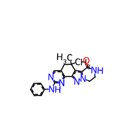 CC1(C)Cc2cnc(Nc3ccccc3)nc2-c2nn3c(c21)C(=O)NCC3